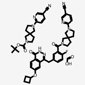 CC(C)(C)OC(=O)N1CCC2(CCN(c3ccc(C#N)cn3)C2)C1.N#Cc1ccc(N2CCC3(CCN(C(=O)c4cc(Cc5n[nH]c(=O)c6ccc(OC7CCC7)cc56)ccc4F)C3)C2)nc1.O=CO